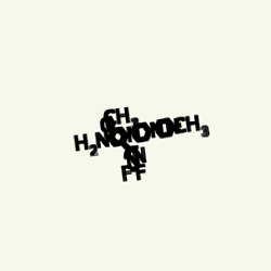 COc1cc(N2CCC(N3CCN(C)CC3)CC2)c(-c2cnn(C(F)F)c2)cc1N